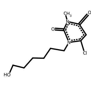 Cn1c(=O)cc(Cl)n(CCCCCCO)c1=O